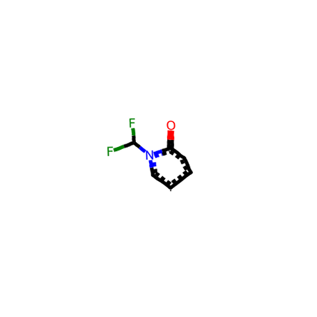 O=c1cc[c]cn1C(F)F